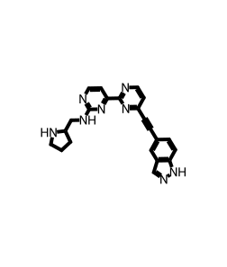 C(#Cc1ccnc(-c2ccnc(NCC3CCCN3)n2)n1)c1ccc2[nH]ncc2c1